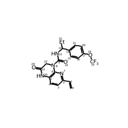 C=Cc1ccc2c(n1)N(C(=O)NC(CC)c1ccc(OC(F)(F)F)cc1)CC(=O)N2